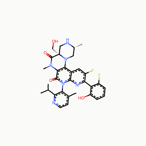 Cc1ccnc(C(C)C)c1-n1c(=O)c2c(c3cc(F)c(-c4c(O)cccc4F)nc31)N1C[C@@H](C)NC[C@]1(CO)C(=O)N2C